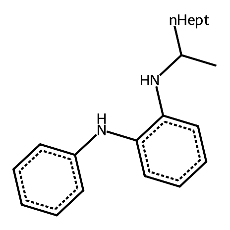 CCCCCCCC(C)Nc1ccccc1Nc1ccccc1